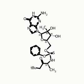 C[C@H](NP(=S)(OC[C@H]1O[C@@H](n2cnc3c(=O)[nH]c(N)nc32)[C@](C)(O)[C@@H]1O)Oc1ccccc1)C(=O)CC(C)(C)C